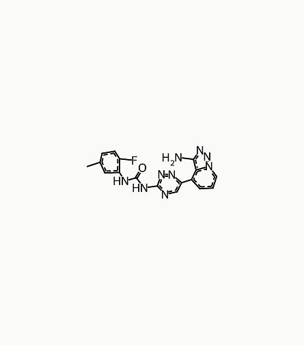 Cc1ccc(F)c(NC(=O)Nc2ncc(-c3cccn4nnc(N)c34)nn2)c1